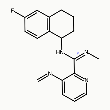 C=Nc1cccnc1/C(=N\C)NC1CCCc2cc(F)ccc21